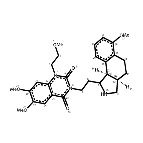 COCCn1c(=O)n(CCC2NC[C@@H]3CCc4c(OC)cccc4[C@H]23)c(=O)c2cc(OC)c(OC)cc21